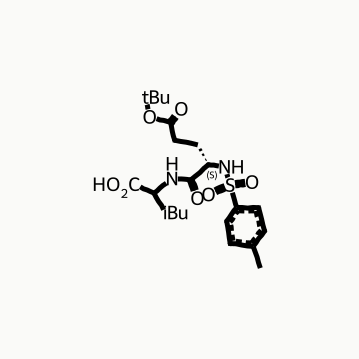 CCC(C)C(NC(=O)[C@H](CCC(=O)OC(C)(C)C)NS(=O)(=O)c1ccc(C)cc1)C(=O)O